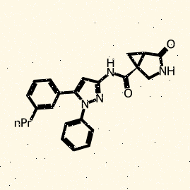 CCCc1cccc(-c2cc(NC(=O)[C@]34CNC(=O)C3C4)nn2-c2ccccc2)c1